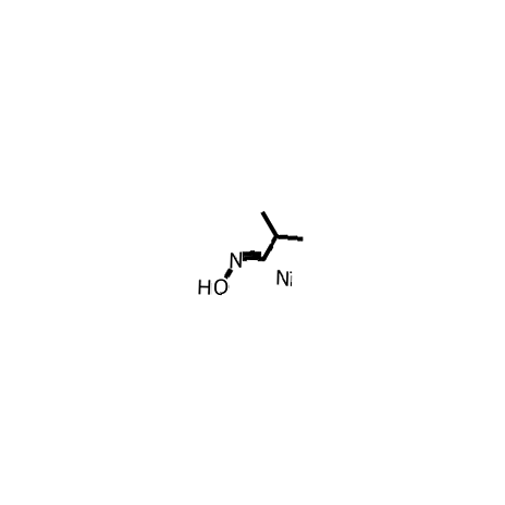 CC(C)C=NO.[Ni]